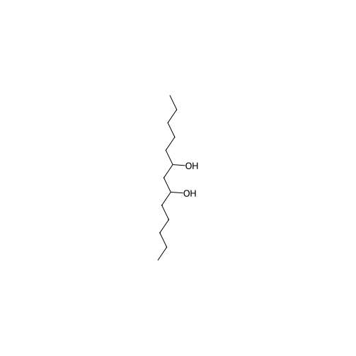 CCCCCC(O)CC(O)CCCCC